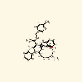 C=C(NCc1cnc(C)cn1)c1c(=N/c2ccccc2)/c2c(/n3c1sc1ccccc13)=N\CCN(C)CN/C=C/C=2